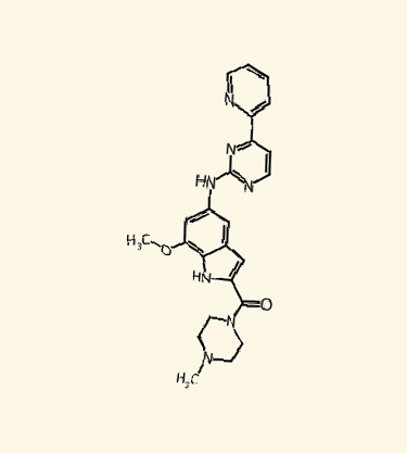 COc1cc(Nc2nccc(-c3ccccn3)n2)cc2cc(C(=O)N3CCN(C)CC3)[nH]c12